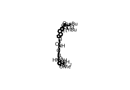 CCCCC(CC)COP(=O)(OCC(CC)CCCC)Oc1ccc2c(c1)CCC1C2CCC2(C)C1CC[C@H]2OCCC(=O)NCCOCCOCC(=O)Nc1ccc(OC)c(C(N)=O)c1O